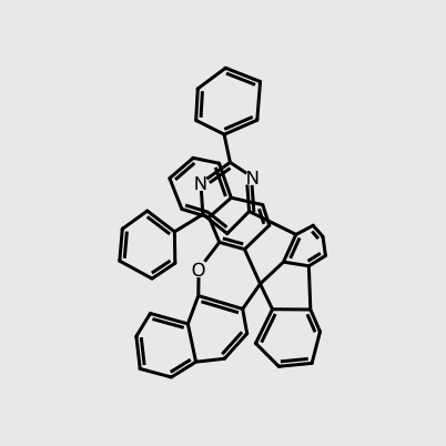 c1ccc(-c2cc(-c3cccc4c3C3(c5ccccc5-4)c4ccc5ccccc5c4Oc4c3ccc3ccccc43)nc(-c3ccccc3)n2)cc1